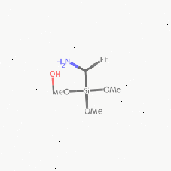 CCC(N)[Si](OC)(OC)OC.CO